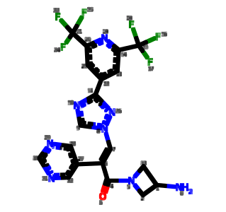 NC1CN(C(=O)/C(=C/n2cnc(-c3cc(C(F)(F)F)nc(C(F)(F)F)c3)n2)c2cncnc2)C1